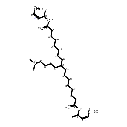 CCCCCC/C=C\C(C)OC(=O)CCCCCCCC(CCCCCCCC(=O)OC(C)/C=C\CCCCCC)CCCCN(C)C